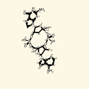 Nc1nc2c(ncn2[C@@H]2O[C@@H]3CO[P@@](=O)(S)OC4C(F)[C@H](n5cnc6c(N)ccnc65)O[C@@H]4CO[P@@](=O)(S)OC2C3)c(=O)[nH]1